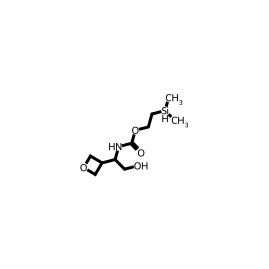 C[SiH](C)CCOC(=O)NC(CO)C1COC1